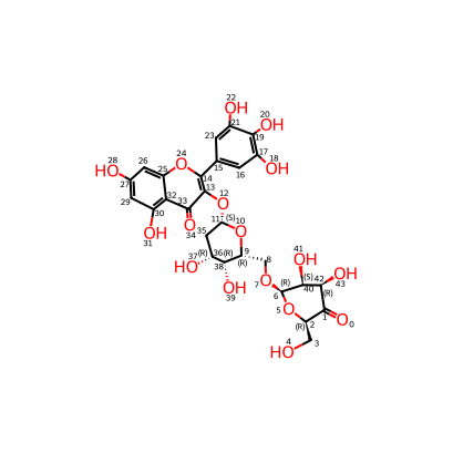 O=C1[C@@H](CO)O[C@@H](OC[C@H]2O[C@@H](Oc3c(-c4cc(O)c(O)c(O)c4)oc4cc(O)cc(O)c4c3=O)C[C@@H](O)[C@H]2O)[C@@H](O)[C@H]1O